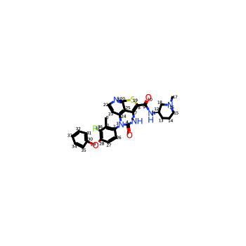 Cc1c(N2C(=O)Nc3c(C(=O)N[C@@H]4CCCN(C)C4)sc4nccc2c34)ccc(Oc2ccccc2)c1F